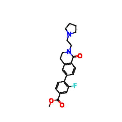 COC(=O)c1ccc(-c2ccc3c(c2)CCN(CCN2CCCC2)C3=O)c(F)c1